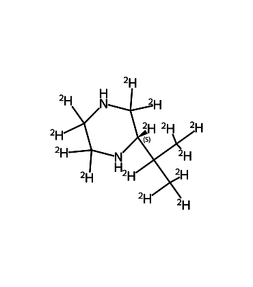 [2H]C([2H])([2H])C([2H])(C([2H])([2H])[2H])[C@]1([2H])NC([2H])([2H])C([2H])([2H])NC1([2H])[2H]